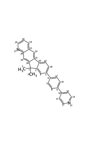 CC1(C)c2cc(-c3ccc(-c4ccncc4)cc3)ccc2-c2cc3cccnc3cc21